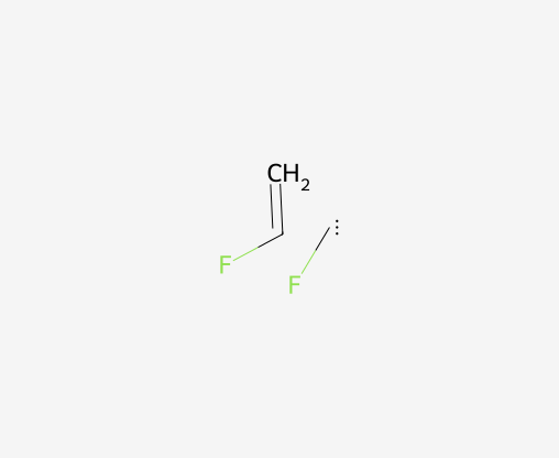 C=CF.[C]F